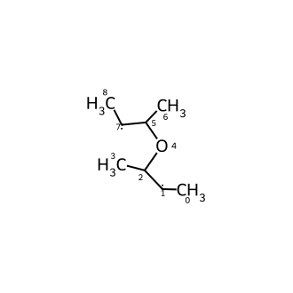 C[CH]C(C)OC(C)[CH]C